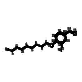 CCCCCCCCCOc1ccc(C=O)cc1F